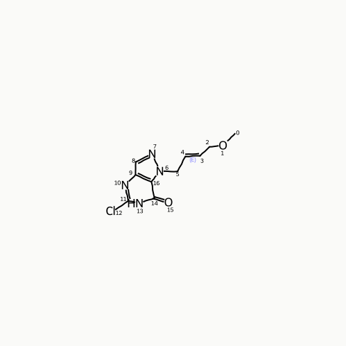 COC/C=C/Cn1ncc2nc(Cl)[nH]c(=O)c21